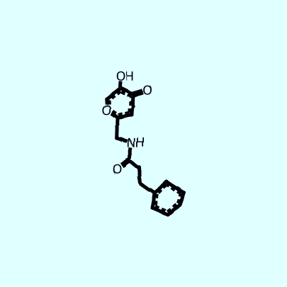 O=C(CCc1ccccc1)NCc1cc(=O)c(O)co1